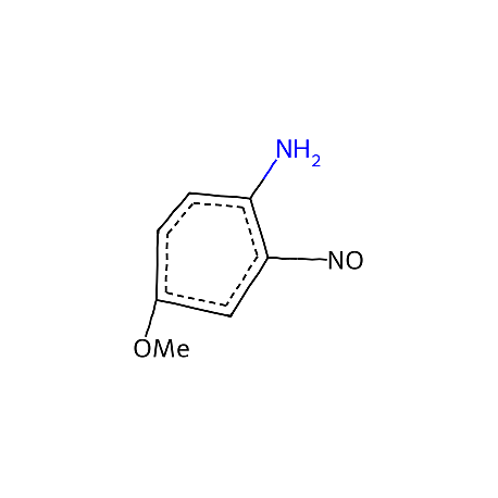 COc1ccc(N)c(N=O)c1